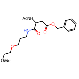 COCCOCCCNC(=O)C(CC(=O)OCc1ccccc1)NC(C)=O